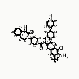 Nc1c(Cl)cc(C[C@@H](NC(=O)N2CCC(N3CCc4ccccc4NC3=O)CC2)C(=O)N2CCC(N3CCNCC3)CC2)cc1C(F)(F)F